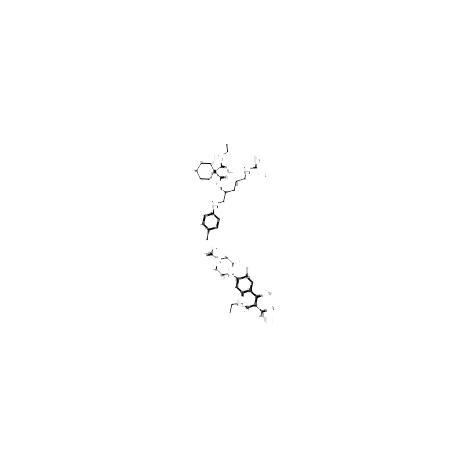 CCNC(=O)C1(C(=O)NC(CCCNC(N)=O)CNc2ccc(COC(=O)N3CCN(c4cc5c(cc4F)c(=O)c(C(=O)O)cn5CC)CC3)cc2)CCCCC1